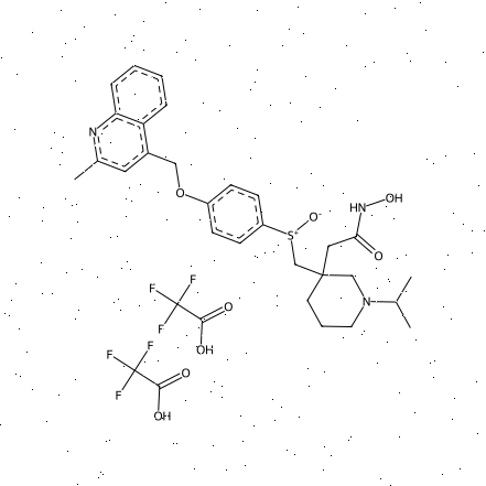 Cc1cc(COc2ccc([S+]([O-])CC3(CC(=O)NO)CCCN(C(C)C)C3)cc2)c2ccccc2n1.O=C(O)C(F)(F)F.O=C(O)C(F)(F)F